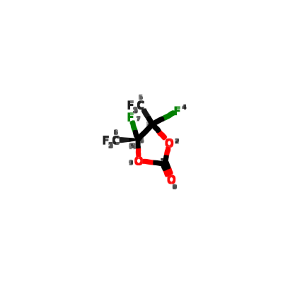 O=C1OC(F)(C(F)(F)F)[C@](F)(C(F)(F)F)O1